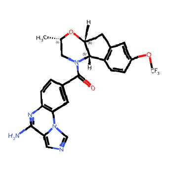 C[C@H]1CN(C(=O)c2ccc3nc(N)c4cncn4c3c2)[C@H]2c3ccc(OC(F)(F)F)cc3C[C@H]2O1